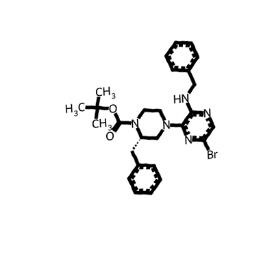 CC(C)(C)OC(=O)N1CCN(c2nc(Br)cnc2NCc2ccccc2)C[C@@H]1Cc1ccccc1